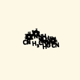 CC(C)(CNc1cccc(-c2cccc(C#N)c2)n1)NCC(=O)N1CCC[C@H]1C#N